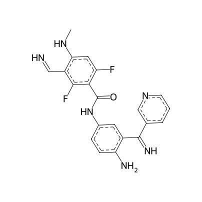 CNc1cc(F)c(C(=O)Nc2ccc(N)c(C(=N)c3cccnc3)c2)c(F)c1C=N